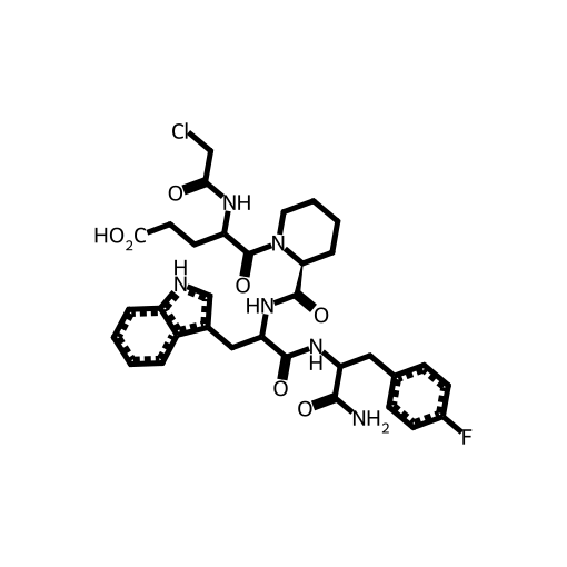 NC(=O)C(Cc1ccc(F)cc1)NC(=O)C(Cc1c[nH]c2ccccc12)NC(=O)[C@@H]1CCCCN1C(=O)C(CCC(=O)O)NC(=O)CCl